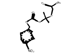 CC(C)(OC(=O)Oc1ccc([N+](=O)[O-])cc1)OC(=O)C(C)(C)C